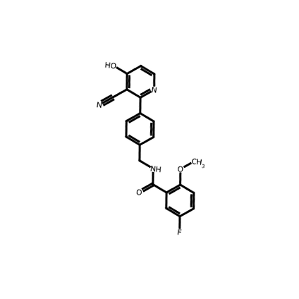 COc1ccc(F)cc1C(=O)NCc1ccc(-c2nccc(O)c2C#N)cc1